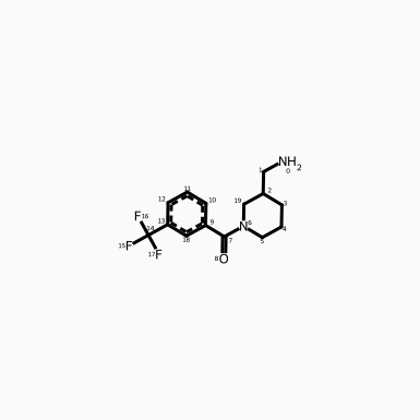 NCC1CCCN(C(=O)c2cccc(C(F)(F)F)c2)C1